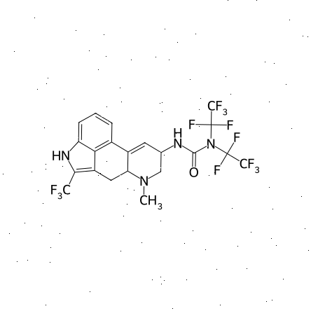 CN1CC(NC(=O)N(C(F)(F)C(F)(F)F)C(F)(F)C(F)(F)F)C=C2c3cccc4[nH]c(C(F)(F)F)c(c34)CC21